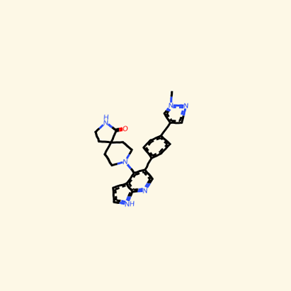 Cn1cc(-c2ccc(-c3cnc4[nH]ccc4c3N3CCC4(CCNC4=O)CC3)cc2)cn1